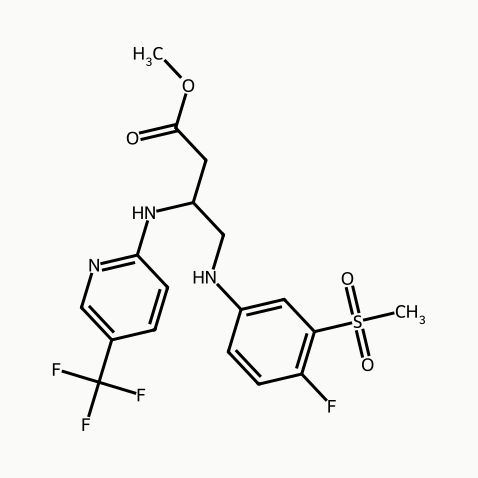 COC(=O)CC(CNc1ccc(F)c(S(C)(=O)=O)c1)Nc1ccc(C(F)(F)F)cn1